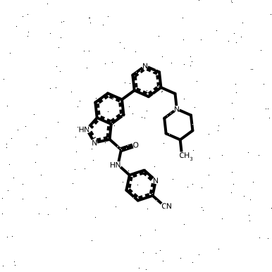 CC1CCN(Cc2cncc(-c3ccc4[nH]nc(C(=O)Nc5ccc(C#N)nc5)c4c3)c2)CC1